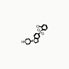 O=S(=O)(c1ccc2c(c1)CCN2C1CCNCC1)c1ccccc1Cl